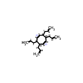 C=CCC1/C=C\C(CC=C)C(CC=C)/C=C\C1CC=C